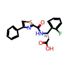 O=C(O)C[C@H](NC(=O)c1nc(-c2ccccc2)cs1)c1ccccc1F